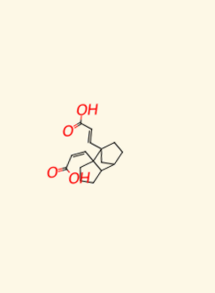 O=C(O)C=CC12CCC(C1)C1CCCC12C=CC(=O)O